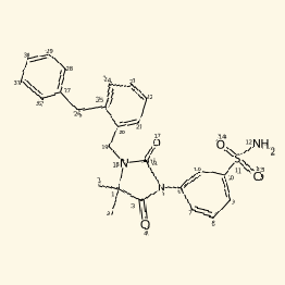 CC1(C)C(=O)N(c2cccc(S(N)(=O)=O)c2)C(=O)N1Cc1ccccc1Cc1ccccc1